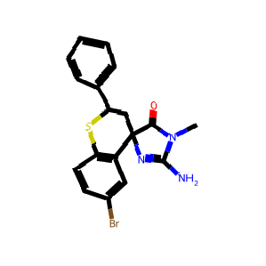 CN1C(=O)C2(CC(c3ccccc3)Sc3ccc(Br)cc32)N=C1N